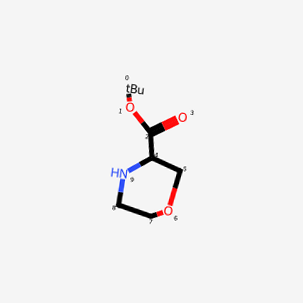 CC(C)(C)OC(=O)C1COCCN1